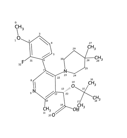 COc1cccc(-c2cnc(C)c([C@H](OC(C)(C)C)C(=O)O)c2N2CCC(C)(C)CC2)c1F